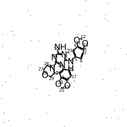 NC1=NC(Nc2ccc3c(c2)OCO3)N(c2ccc3c(c2)OCO3)C(N2CCOCC2)=N1